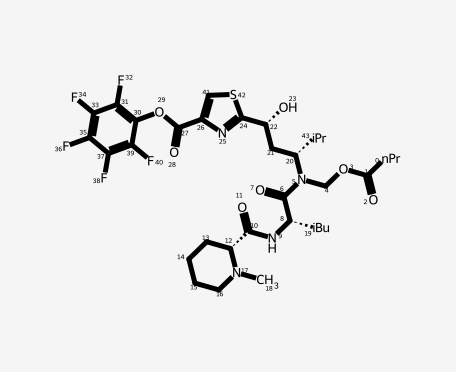 CCCC(=O)OCN(C(=O)[C@@H](NC(=O)[C@H]1CCCCN1C)C(C)CC)[C@H](C[C@@H](O)c1nc(C(=O)Oc2c(F)c(F)c(F)c(F)c2F)cs1)C(C)C